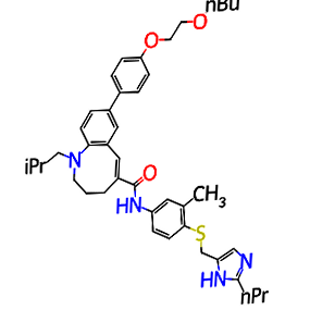 CCCCOCCOc1ccc(-c2ccc3c(c2)C=C(C(=O)Nc2ccc(SCc4cnc(CCC)[nH]4)c(C)c2)CCCN3CC(C)C)cc1